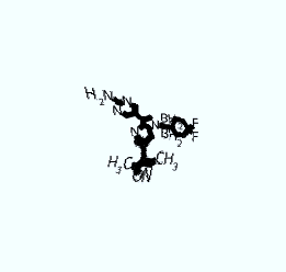 BC(B)(C1CCC(F)(F)CC1)n1cc(-c2cnc(N)nc2)c2ncc(-c3c(C)noc3C)cc21